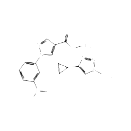 COC(=O)c1cnn(-c2cccc(B(O)O)c2)c1[C@H]1C[C@@H]1c1cn(C)nn1